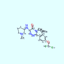 CCN1CCC[C@@H](Nc2nnc(-c3ccc(OC(F)F)cc3OC)n(C)c2=O)C1